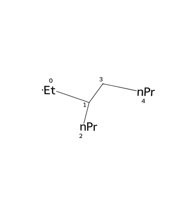 C[CH]C(CCC)CCCC